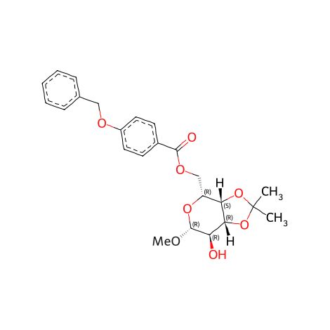 CO[C@@H]1O[C@H](COC(=O)c2ccc(OCc3ccccc3)cc2)[C@@H]2OC(C)(C)O[C@@H]2[C@H]1O